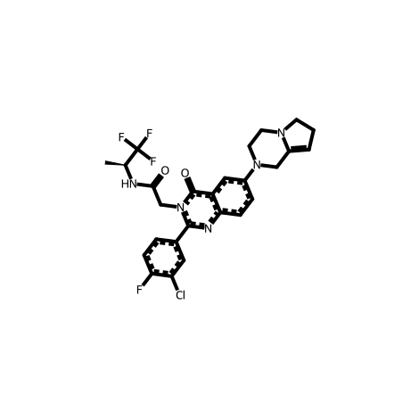 C[C@H](NC(=O)Cn1c(-c2ccc(F)c(Cl)c2)nc2ccc(N3CCN4CCC=C4C3)cc2c1=O)C(F)(F)F